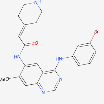 COc1cc2ncnc(Nc3cccc(Br)c3)c2cc1NC(=O)C=C1CCNCC1